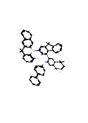 CC1(C)CCC(C)(C)c2cc3c(cc21)-c1c2c(cc4c1-c1ccccc1C4(C)C)N1c4cc5ccccc5cc4C(C)(C)c4cccc(c41)B2N3c1ccc(-c2ccccc2)cc1